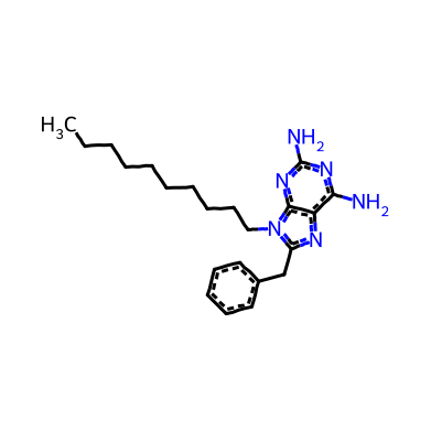 CCCCCCCCCCn1c(Cc2ccccc2)nc2c(N)nc(N)nc21